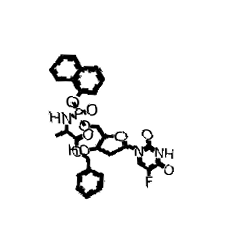 CC(NP(=O)(OCC1OC(n2cc(F)c(=O)[nH]c2=O)CC1O)Oc1cccc2ccccc12)C(=O)OCc1ccccc1